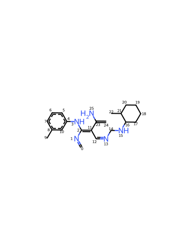 C=N/C(Nc1cccc(C)c1)=C(\C=N/CNC1CCCCC1C)C(=C)N